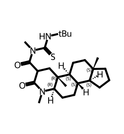 CN(C(=O)C1C[C@]2(C)[C@H]3CC[C@]4(C)CCC[C@H]4[C@@H]3CC[C@H]2N(C)C1=O)C(=S)NC(C)(C)C